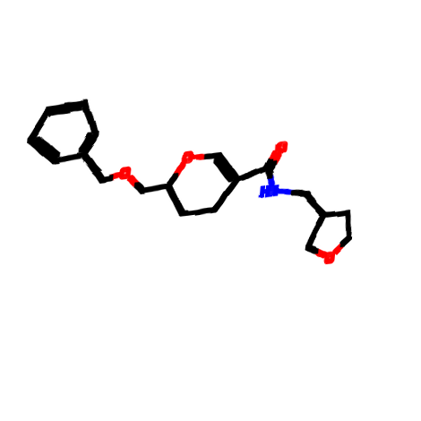 O=C(NCC1CCOC1)C1=COC(COCc2ccccc2)CC1